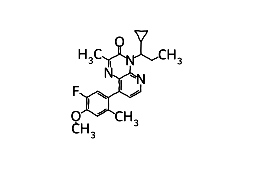 CCC(C1CC1)n1c(=O)c(C)nc2c(-c3cc(F)c(OC)cc3C)ccnc21